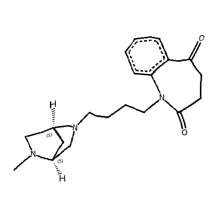 CN1C[C@@H]2C[C@H]1CN2CCCCN1C(=O)CCC(=O)c2ccccc21